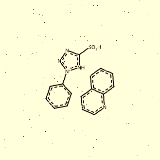 O=S(=O)(O)c1nn[n+](-c2ccccc2)[nH]1.c1ccc2ncccc2c1